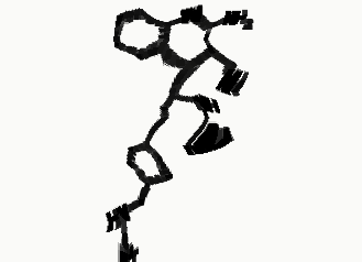 CCCCN/C(Cc1ccc(CNC(C)C)cc1)=C1\C(=N)C(N)=Nc2ccccc21